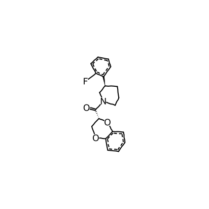 O=C([C@H]1COc2ccccc2O1)N1CCC[C@H](c2ccccc2F)C1